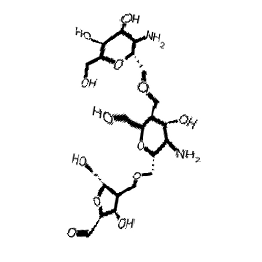 NC1[C@H](COC[C@@H]2C(CO)O[C@@H](COCC3[C@@H](O)[C@@H](C=O)O[C@@H]3CO)C(N)[C@@H]2O)OC(CO)[C@@H](O)[C@H]1O